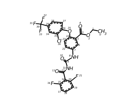 CCOC(=O)c1cc(NC(=O)NC(=O)c2c(F)cccc2F)ccc1Oc1ccc(C(F)(F)F)cc1Cl